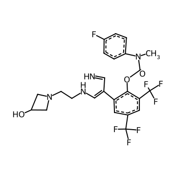 CN(C(=O)Oc1c(/C(C=N)=C/NCCN2CC(O)C2)cc(C(F)(F)F)cc1C(F)(F)F)c1ccc(F)cc1